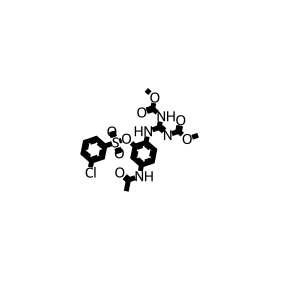 COC(=O)N=C(NC(=O)OC)Nc1ccc(NC(C)=O)cc1OS(=O)(=O)c1cccc(Cl)c1